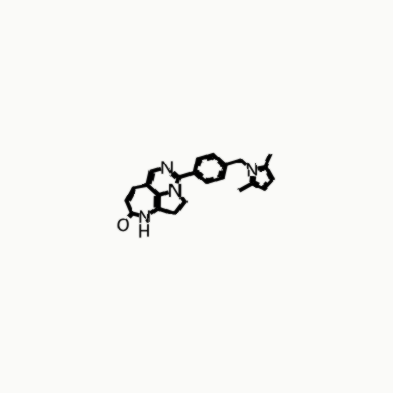 Cc1ccc(C)n1Cc1ccc(C2=NC=C3C=CC(=O)NC4=C3N2CC4)cc1